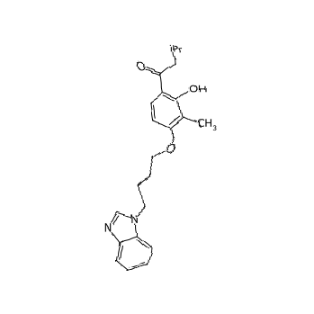 Cc1c(OCCCCn2cnc3ccccc32)ccc(C(=O)CC(C)C)c1O